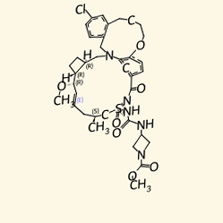 COC(=O)N1CC(NC(=O)N[S@@]2(=O)=NC(=O)c3ccc4c(c3)N(Cc3ccc(Cl)cc3CCCCO4)C[C@@H]3CC[C@H]3[C@@H](OC)/C=C/C[C@H](C)C2)C1